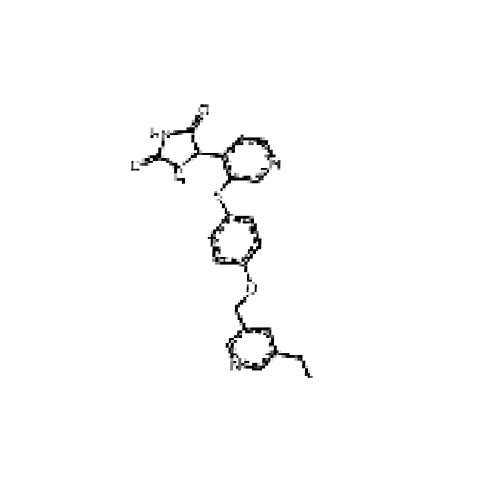 CCc1cncc(COc2ccc(Sc3cnccc3C3NC(=O)NC3=O)cc2)c1